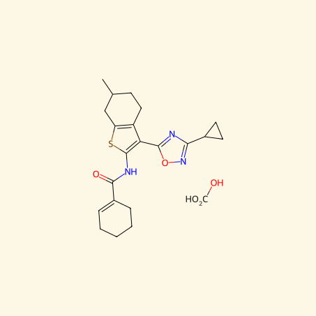 CC1CCc2c(sc(NC(=O)C3=CCCCC3)c2-c2nc(C3CC3)no2)C1.O=C(O)O